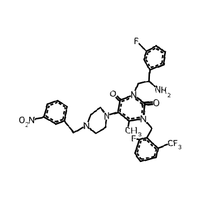 Cc1c(N2CCN(Cc3cccc([N+](=O)[O-])c3)CC2)c(=O)n(CC(N)c2cccc(F)c2)c(=O)n1Cc1c(F)cccc1C(F)(F)F